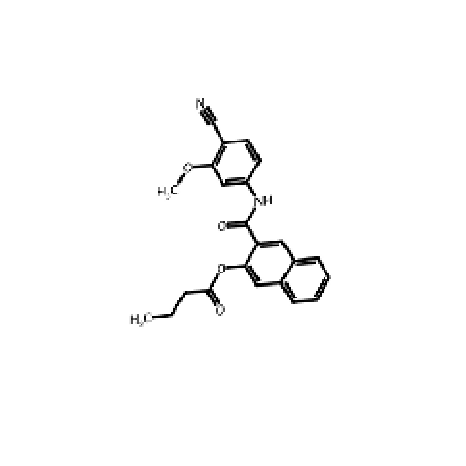 CCCC(=O)Oc1cc2ccccc2cc1C(=O)Nc1ccc(C#N)c(OC)c1